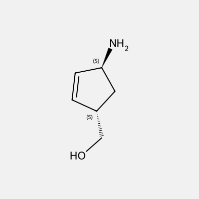 N[C@@H]1C=C[C@@H](CO)C1